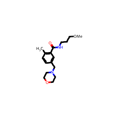 COCCCNC(=O)c1cc(CN2CCOCC2)ccc1C